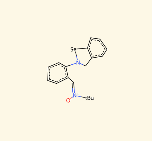 CC(C)(C)[N+]([O-])=Cc1ccccc1N1Cc2ccccc2[Se]1